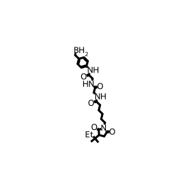 BCc1ccc(NC(=O)CNC(=O)CNC(=O)CCCCCN2C(=O)CC(C(C)(C)CC)C2=O)cc1